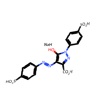 O=C(O)c1nn(-c2ccc(S(=O)(=O)O)cc2)c(O)c1N=Nc1ccc(S(=O)(=O)O)cc1.[NaH]